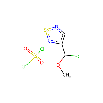 COC(Cl)c1cnsn1.O=S(=O)(Cl)Cl